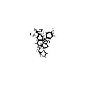 O=C1OCCN1[C@@H]1CC[C@@]2(S(=O)(=O)c3ccc(F)cc3)c3ccc(C(F)(C(F)(F)F)C(F)(F)F)cc3CC[C@@H]12